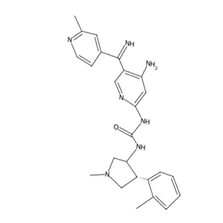 Cc1cc(C(=N)c2cnc(NC(=O)NC3CN(C)C[C@H]3c3ccccc3C)cc2N)ccn1